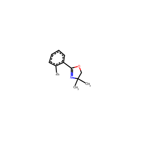 CC1(C)COC(c2cccc[c]2[Zn])=N1